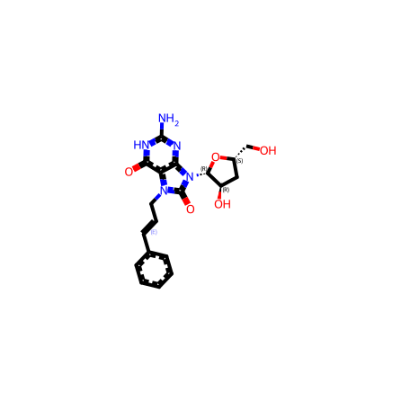 Nc1nc2c(c(=O)[nH]1)n(C/C=C/c1ccccc1)c(=O)n2[C@@H]1O[C@H](CO)C[C@H]1O